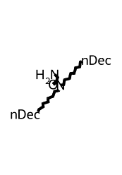 CCCCCCCCCCCCCCCCCCN(CCCCCCCCCCCCCCCCCC)C(=O)CN